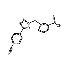 N#Cc1ccc(-c2nnc(Cc3cccc(C(=O)O)c3)o2)cc1